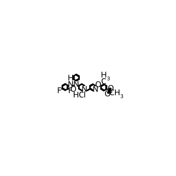 Cc1cc(S(C)(=O)=O)ccc1Oc1ccc(CN2CCC(N(C(=O)Nc3ccc(F)cc3F)c3ccccc3)CC2)cn1.Cl